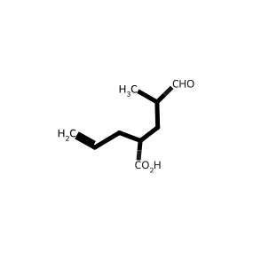 C=CCC(CC(C)C=O)C(=O)O